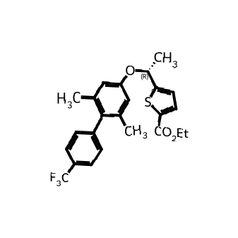 CCOC(=O)c1ccc([C@@H](C)Oc2cc(C)c(-c3ccc(C(F)(F)F)cc3)c(C)c2)s1